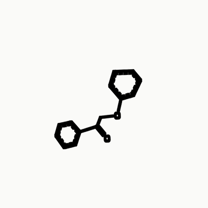 O=C(COc1ccccc1)c1ccccc1